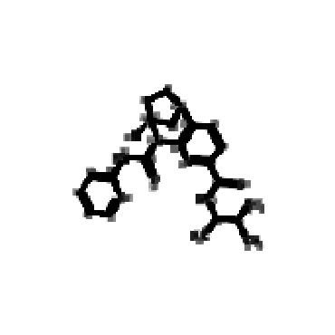 CC(C)C(C)NC(=O)c1ccc2c(n1)N(C(=O)Nc1ccccn1)[C@H]1CCN2C1